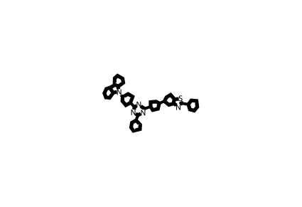 c1ccc(-c2nc(-c3ccc(-c4ccc5sc(-c6ccccc6)nc5c4)cc3)nc(-c3ccc(-n4c5ccccc5c5ccccc54)cc3)n2)cc1